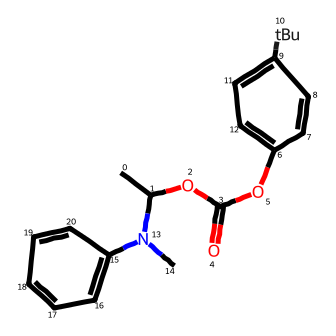 CC(OC(=O)Oc1ccc(C(C)(C)C)cc1)N(C)c1ccccc1